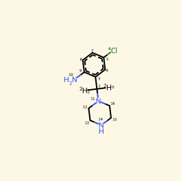 [2H]C([2H])(c1cc(Cl)ccc1N)N1CCNCC1